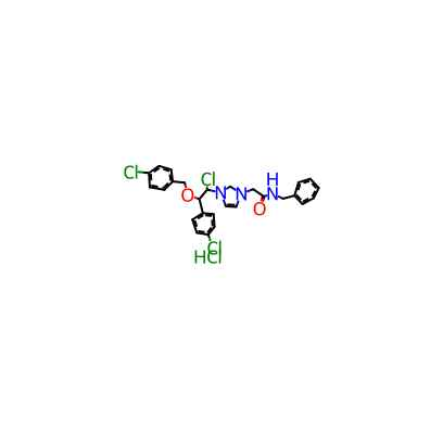 Cl.O=C(CN1C=CN(C(Cl)C(OCc2ccc(Cl)cc2)c2ccc(Cl)cc2)C1)NCc1ccccc1